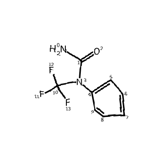 NC(=O)N(c1ccccc1)C(F)(F)F